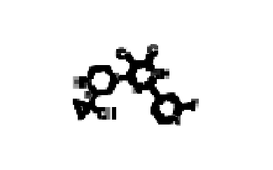 O=c1[nH]c(-c2ccnc(F)c2)nc(N2CCN[C@H](C3(O)CC3)C2)c1Cl